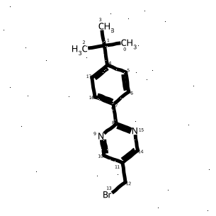 CC(C)(C)c1ccc(-c2ncc(CBr)cn2)cc1